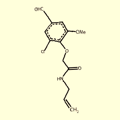 C=CCNC(=O)COc1c(Cl)cc(C=O)cc1OC